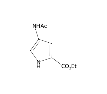 CCOC(=O)c1cc(NC(C)=O)c[nH]1